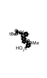 COc1ccc(C(=O)O)cc1C(=O)N1CCc2cc(F)c(-c3ccccc3OCCNC(=O)OC(C)(C)C)cc21